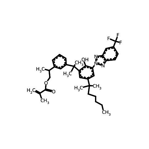 C=C(C)C(=O)OCC(C)c1cccc(C(C)(C)c2cc(C(C)(C)CCCCC)cc(-n3nc4ccc(C(F)(F)F)cc4n3)c2O)c1